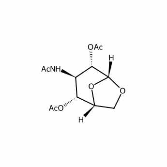 CC(=O)N[C@H]1[C@H](OC(C)=O)[C@@H]2OC[C@@H](O2)[C@@H]1OC(C)=O